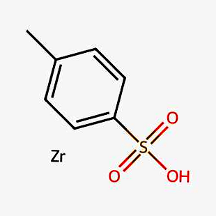 Cc1ccc(S(=O)(=O)O)cc1.[Zr]